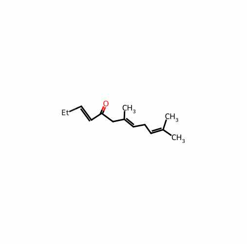 CC/C=C/C(=O)C/C(C)=C/CC=C(C)C